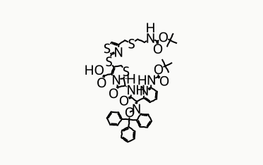 CC(C)(C)OC(=O)NCCSCc1csc(SC2=C(C(=O)O)N3C(=O)[C@@H](NC(=O)/C(=N\OC(c4ccccc4)(c4ccccc4)c4ccccc4)c4cccc(NC(=O)OC(C)(C)C)n4)[C@@H]3SC2)n1